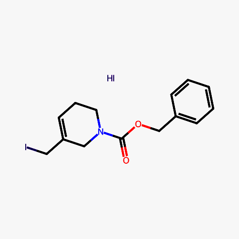 I.O=C(OCc1ccccc1)N1CCC=C(CI)C1